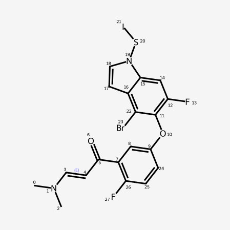 CN(C)/C=C/C(=O)c1cc(Oc2c(F)cc3c(ccn3SI)c2Br)ccc1F